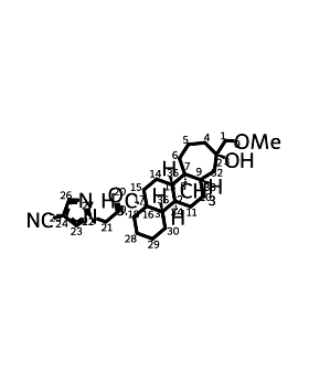 COC[C@@]1(O)CCC[C@@]2(C)[C@@H](CC[C@@H]3[C@@H]2CC[C@]2(C)[C@@H](C(=O)Cn4cc(C#N)cn4)CCC[C@@H]32)C1